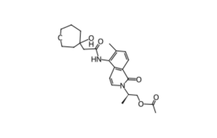 CC(=O)OC[C@@H](C)n1ccc2c(NC(=O)CC3(O)CCCCCC3)c(C)ccc2c1=O